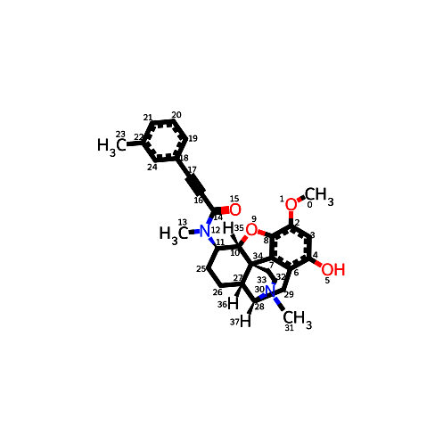 COc1cc(O)c2c3c1O[C@H]1[C@H](N(C)C(=O)C#Cc4cccc(C)c4)CC[C@H]4[C@@H](C2)N(C)CC[C@@]341